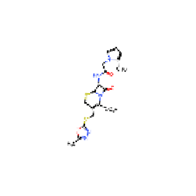 Cc1nnc(SCC2=C(C(=O)O)N3C(=O)C(NC(=O)Cn4cccc4C=O)C3SC2)o1